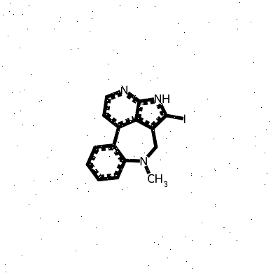 CN1Cc2c(I)[nH]c3nccc(c23)-c2ccccc21